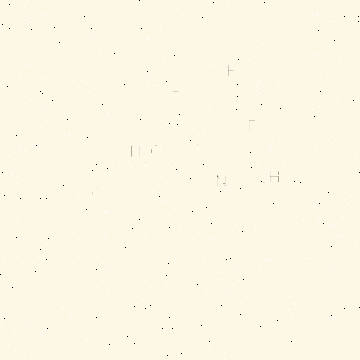 C=C(N(C)c1ccccc1CC)C(F)(F)F